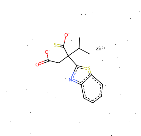 CC(C)C(CC(=O)[O-])(C([O-])=S)c1nc2ccccc2s1.[Zn+2]